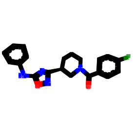 O=C(c1ccc(F)cc1)N1CCC[C@H](c2noc(Nc3ccccc3)n2)C1